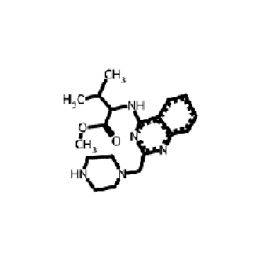 COC(=O)C(Nc1nc(CN2CCNCC2)nc2ccccc12)C(C)C